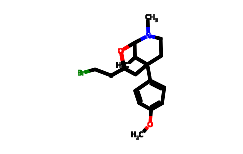 COc1ccc(C23CCN(C)C(OC(CCBr)C2)C3C)cc1